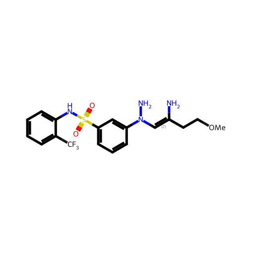 COCC/C(N)=C/N(N)c1cccc(S(=O)(=O)Nc2ccccc2C(F)(F)F)c1